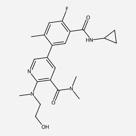 Cc1cc(F)c(C(=O)NC2CC2)cc1-c1cnc(N(C)CCO)c(C(=O)N(C)C)c1